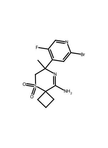 CC1(c2cc(Br)ncc2F)CS(=O)(=O)C2(CCC2)C(N)=N1